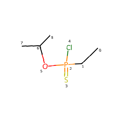 CCP(=S)(Cl)OC(C)C